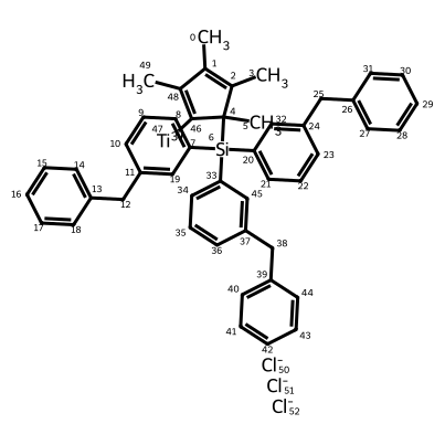 CC1=C(C)C(C)([Si](c2cccc(Cc3ccccc3)c2)(c2cccc(Cc3ccccc3)c2)c2cccc(Cc3ccccc3)c2)[C]([Ti+3])=C1C.[Cl-].[Cl-].[Cl-]